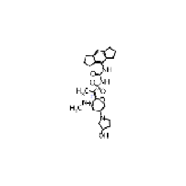 C=NN1CC(N2CCC(O)C2)CO/C1=C(/C)S(=O)(=O)NC(=O)Nc1c2c(cc3c1CCC3)CCC2